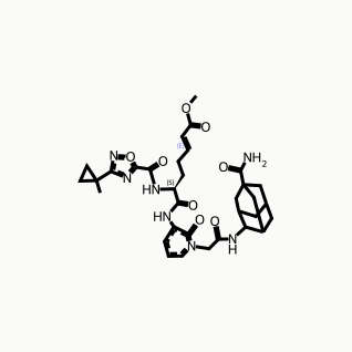 COC(=O)/C=C/CC[C@H](NC(=O)c1nc(C2(C)CC2)no1)C(=O)Nc1cccn(CC(=O)NC2C3CC4CC2CC(C(N)=O)(C4)C3)c1=O